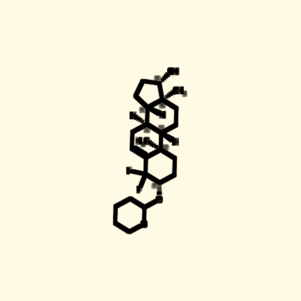 C[C@]12CC[C@H]3[C@@H](CC=C4C(F)(F)[C@@H](OC5CCCCO5)CC[C@@]43C)[C@@H]1CC[C@@H]2O